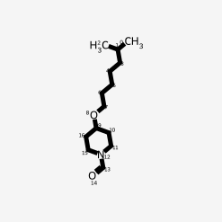 CC(C)CCCCCOC1CCN(C=O)CC1